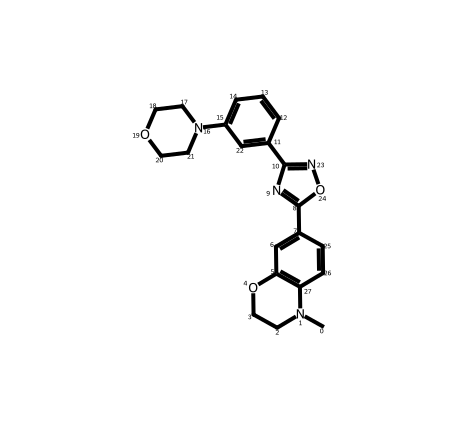 CN1CCOc2cc(-c3nc(-c4cccc(N5CCOCC5)c4)no3)ccc21